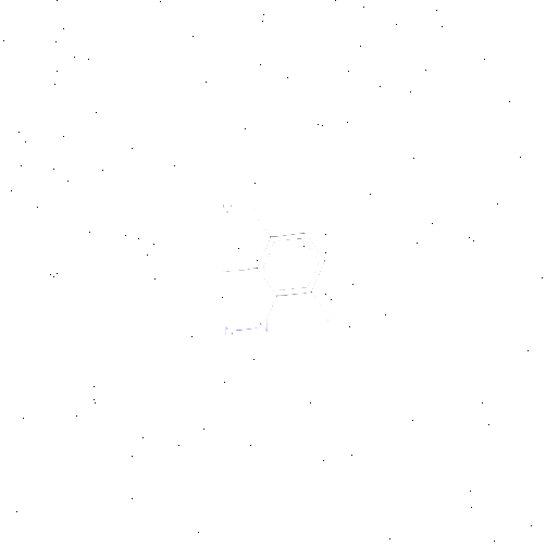 COc1ccc(Cl)c(NN)c1Cl